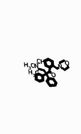 C[C@@H](CC(C(=O)c1ccccc1CN1CCOCC1)(c1ccccc1)c1ccccc1)N(C)C